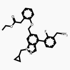 CCOC(=O)Cc1ccccc1OCc1cc(-c2cccc(CN)c2F)c2cnn(CC3CC3)c2c1